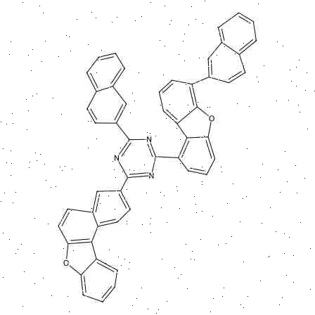 c1ccc2cc(-c3nc(-c4ccc5c(ccc6oc7ccccc7c65)c4)nc(-c4cccc5oc6c(-c7ccc8ccccc8c7)cccc6c45)n3)ccc2c1